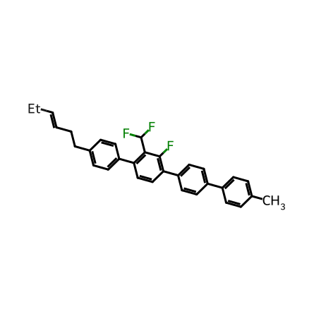 CC/C=C/CCc1ccc(-c2ccc(-c3ccc(-c4ccc(C)cc4)cc3)c(F)c2C(F)F)cc1